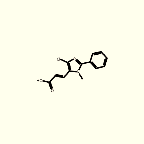 Cn1c(-c2ccccc2)nc(Cl)c1/C=C/C(=O)O